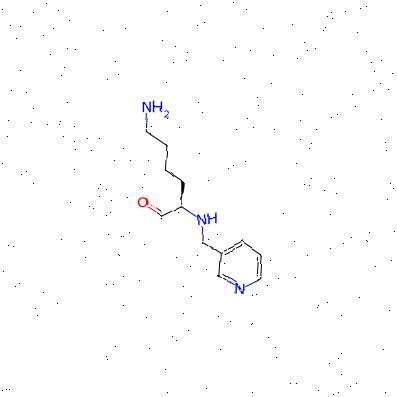 NCCCC[C@H]([C]=O)NCc1cccnc1